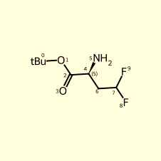 CC(C)(C)OC(=O)[C@@H](N)CC(F)F